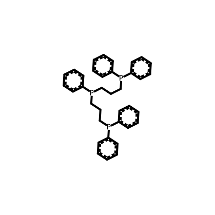 c1ccc(P(CCCP(c2ccccc2)c2ccccc2)CCCP(c2ccccc2)c2ccccc2)cc1